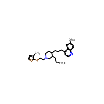 COc1ccc2nccc(CCCC3CCN(CCSc4sccc4C)CC3CCC(=O)O)c2c1